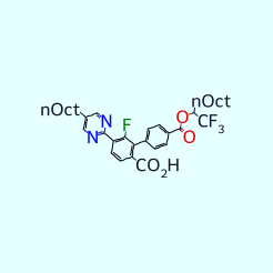 CCCCCCCCc1cnc(-c2ccc(C(=O)O)c(-c3ccc(C(=O)OC(CCCCCCCC)C(F)(F)F)cc3)c2F)nc1